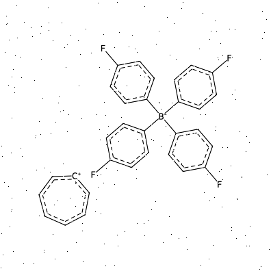 Fc1ccc([B-](c2ccc(F)cc2)(c2ccc(F)cc2)c2ccc(F)cc2)cc1.c1ccc[cH+]cc1